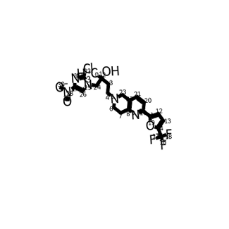 CC(O)(CCN1CCc2nc(-c3ccc(C(F)(F)F)o3)ccc2C1)Cn1cc([N+](=O)[O-])nc1Cl